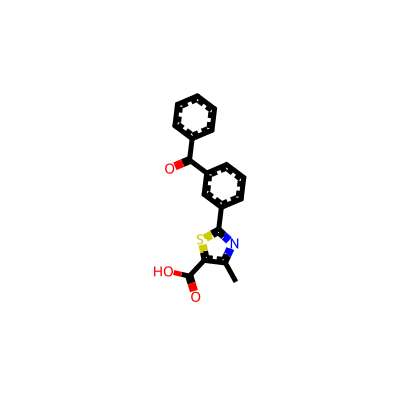 Cc1nc(-c2cccc(C(=O)c3ccccc3)c2)sc1C(=O)O